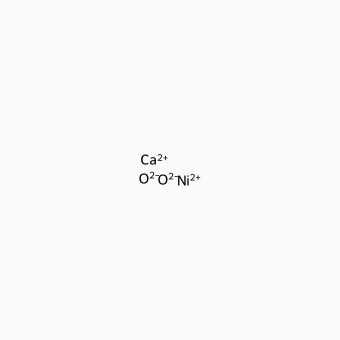 [Ca+2].[Ni+2].[O-2].[O-2]